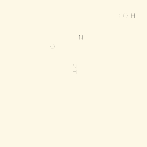 O=C(O)c1ccc(NC(=O)c2ccc3ccccc3c2)nc1